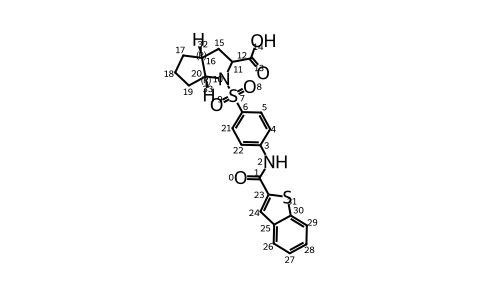 O=C(Nc1ccc(S(=O)(=O)N2C(C(=O)O)C[C@H]3CCC[C@H]32)cc1)c1cc2ccccc2s1